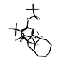 CC(C)(C)OC(=O)N[C@H]1C2CCCCC[C@]1(C)c1cc(OC(=O)C(C)(C)C)cc(F)c1C2